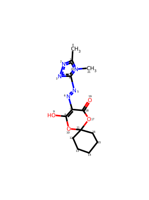 Cc1nnc(N=NC2=C(O)OC3(CCCCC3)OC2=O)n1C